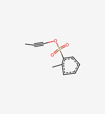 CC#COS(=O)(=O)c1ccccc1C